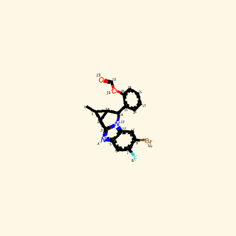 CC1C2c3nc4cc(F)c(Br)cc4n3C(c3ccccc3OC=O)C12